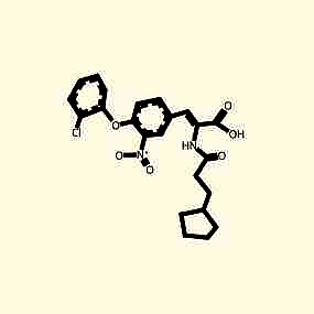 O=C(CCC1CCCC1)NC(=Cc1ccc(Oc2ccccc2Cl)c([N+](=O)[O-])c1)C(=O)O